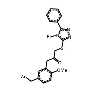 CCn1c(SCC(=O)Cc2cc(CC(C)=O)ccc2OC)nnc1-c1ccccc1